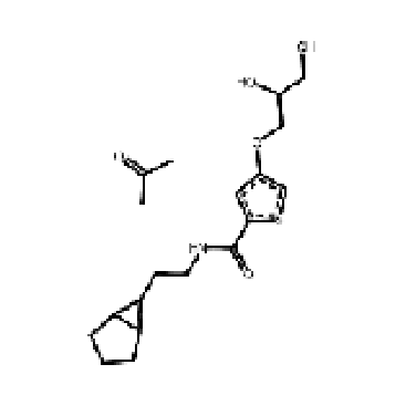 CC(C)=O.O=C(NCCC1C2CCCC21)c1cc(OCC(O)CO)cs1